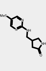 CSc1cnc(NCC2CNC(=O)C2)nc1